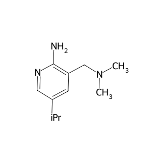 CC(C)c1cnc(N)c(CN(C)C)c1